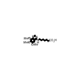 COc1cc2c(NCCCCCCC(=O)O)ncnc2c(OC)c1OC